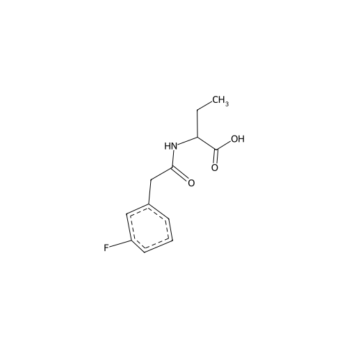 CCC(NC(=O)Cc1cccc(F)c1)C(=O)O